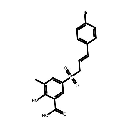 Cc1cc(S(=O)(=O)CC=Cc2ccc(Br)cc2)cc(C(=O)O)c1O